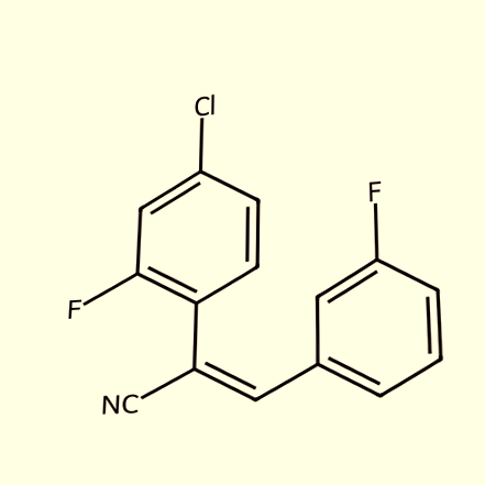 N#CC(=Cc1cccc(F)c1)c1ccc(Cl)cc1F